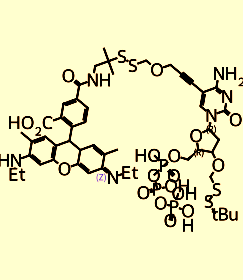 CC/N=C1/C=C2Oc3cc(NCC)c(C)cc3C(c3ccc(C(=O)NCC(C)(C)SSCOCC#Cc4cn([C@H]5CC(OCSSC(C)(C)C)[C@@H](COP(=O)(O)OP(=O)(O)OP(=O)(O)O)O5)c(=O)nc4N)cc3C(=O)O)C2C=C1C